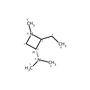 CCC1[C@H](N(C)C)CN1C